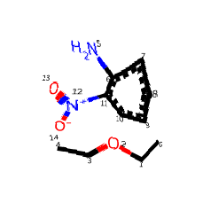 CCOCC.Nc1ccccc1[N+](=O)[O-]